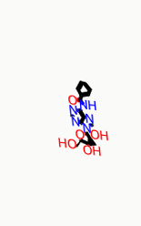 O=C(Nc1ncnc2c1ncn2[C@@H]1O[C@H](CO)C2(O)CC12O)c1ccccc1